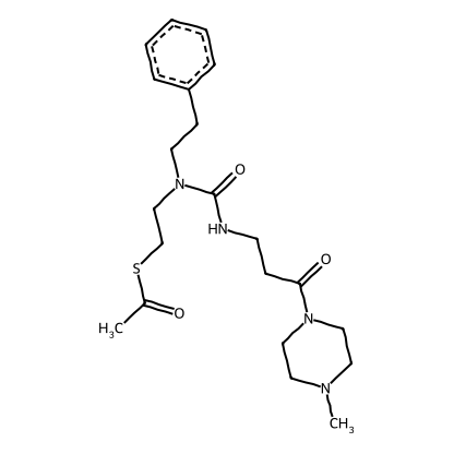 CC(=O)SCCN(CCc1ccccc1)C(=O)NCCC(=O)N1CCN(C)CC1